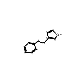 [CH](Cc1ccccc1)c1ccoc1